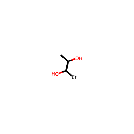 CC[C](O)C(C)O